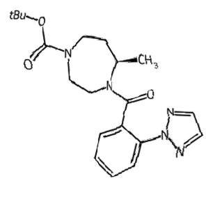 C[C@@H]1CCN(C(=O)OC(C)(C)C)CCN1C(=O)c1ccccc1-n1nccn1